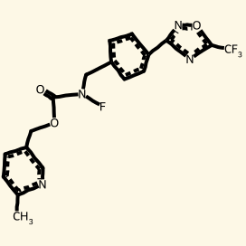 Cc1ccc(COC(=O)N(F)Cc2ccc(-c3noc(C(F)(F)F)n3)cc2)cn1